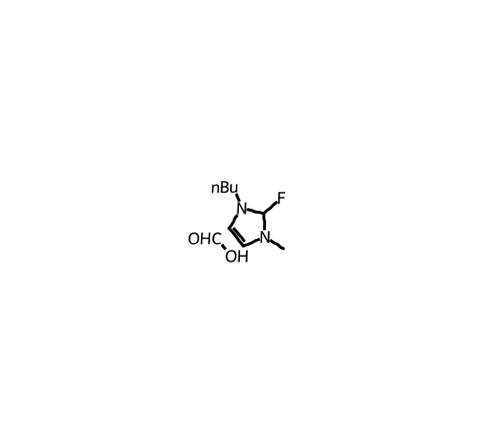 CCCCN1C=CN(C)C1F.O=CO